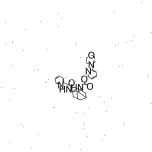 O=C(NC12CC3CC(C1)CC(NC(=O)c1ccccn1)(C3)C2)Oc1cccc(N2CCOCC2)n1